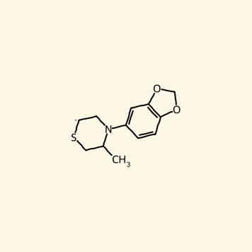 CC1CS[CH]CN1c1ccc2c(c1)OCO2